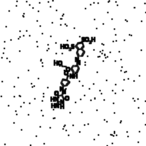 N=C1NC(=O)C(/N=N/c2ccc(C(=O)Nc3ccc(/N=N/c4ccc5cc(S(=O)(=O)O)cc(S(=O)(=O)O)c5c4)cc3OCCO)cc2)C(=O)N1